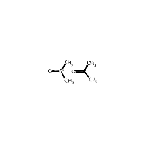 CC(C)=O.C[S+](C)[O-]